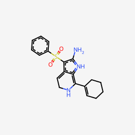 Nc1[nH]c2c(c1S(=O)(=O)c1ccccc1)=CCNC=2C1=CCCCC1